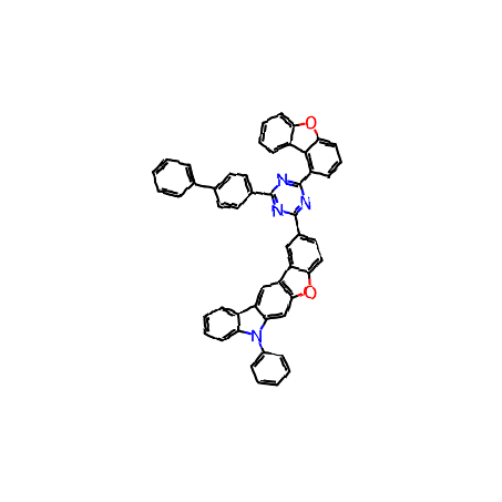 c1ccc(-c2ccc(-c3nc(-c4ccc5oc6cc7c(cc6c5c4)c4ccccc4n7-c4ccccc4)nc(-c4cccc5oc6ccccc6c45)n3)cc2)cc1